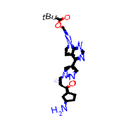 CC(C)(C)C(=O)OCn1ccc2c(-c3cnn(/C=C\C(=O)C4CCC(N)C4)c3)ncnc21